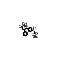 CN1N=C(c2ccc(NC(=O)OC(C)(C)C)cc2)C(c2ccccc2)CC1=O